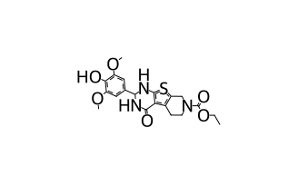 CCOC(=O)N1CCc2c(sc3c2C(=O)NC(c2cc(OC)c(O)c(OC)c2)N3)C1